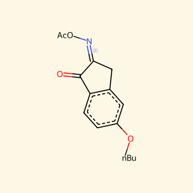 CCCCOc1ccc2c(c1)C/C(=N/OC(C)=O)C2=O